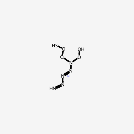 N=N/N=N/N(OO)OOS